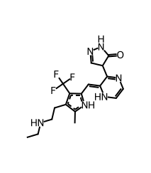 CCNCCc1c(C)[nH]c(C=C2NC=CN=C2C2C=NNC2=O)c1C(F)(F)F